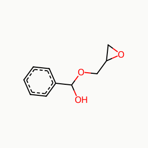 OC(OCC1CO1)c1ccccc1